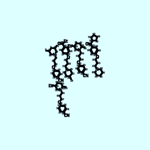 CC1CC(C)CN(CCCOc2ccc(C#N)cc2)C1.CCC(=O)c1ccc(OCCCN2CCC(C)CC2)cc1.CCC1CCC(C)N(CCCOc2ccc(C#N)cc2)C1.CCC1CCC(C)N(CCCOc2ccc(C#N)cc2)C1.O=C(c1ccc(OCCCN2CCCCC2)cc1)C1CCCC1